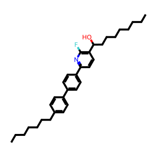 CCCCCCCCC(O)c1ccc(-c2ccc(-c3ccc(CCCCCCC)cc3)cc2)nc1F